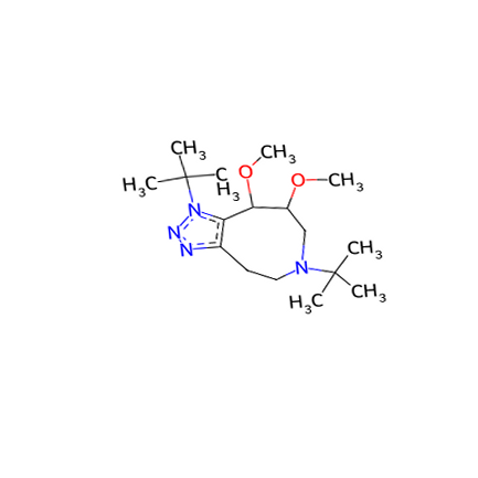 COC1CN(C(C)(C)C)CCc2nnn(C(C)(C)C)c2C1OC